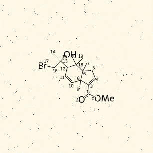 COC(=O)C1=CCC2(C)C1(C)C=CC([C@](C)(O)CBr)C2(C)C